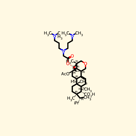 CC(=O)O[C@@H]1C[C@@]23COC[C@](C)([C@@H]2CC[C@H]2C3=CC[C@@]3(C)[C@H](C(=O)O)[C@@](C)([C@H](C)C(C)C)CC[C@]23C)[C@H]1OC(=O)CN(CCCN(C)C)CCCN(C)C